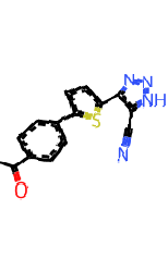 CC(=O)c1ccc(-c2ccc(-c3nn[nH]c3C#N)s2)cc1